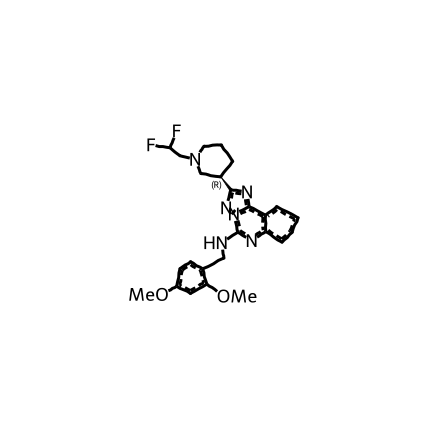 COc1ccc(CNc2nc3ccccc3c3nc([C@@H]4CCCN(CC(F)F)C4)nn23)c(OC)c1